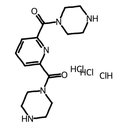 Cl.Cl.Cl.O=C(c1cccc(C(=O)N2CCNCC2)n1)N1CCNCC1